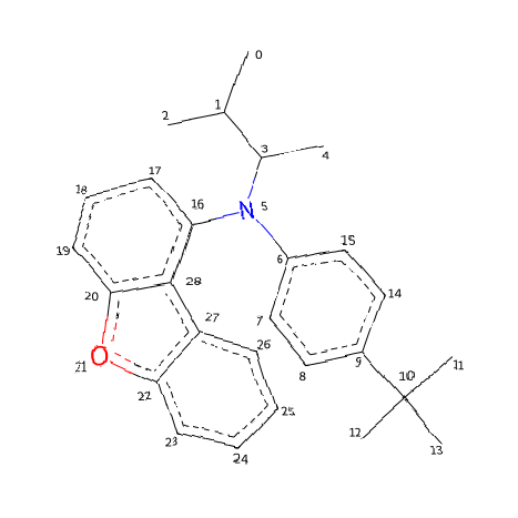 CC(C)C(C)N(c1ccc(C(C)(C)C)cc1)c1cccc2oc3ccccc3c12